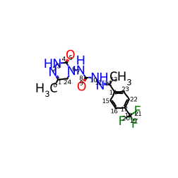 CC1=NNC(=O)N(NC(=O)N/N=C(\C)c2ccc(C(F)(F)F)cc2)C1